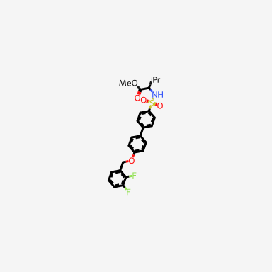 COC(=O)C(NS(=O)(=O)c1ccc(-c2ccc(OCc3cccc(F)c3F)cc2)cc1)C(C)C